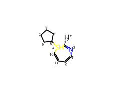 C1=CN=C[SH](C2CCCC2)C=C1.[H+]